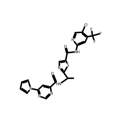 CC(NC(=O)c1cc(-n2cccc2)ncn1)c1ncc(C(=O)Nc2cc(C(F)(F)F)c(Cl)cn2)s1